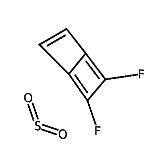 Fc1c2ccc-2c1F.O=S=O